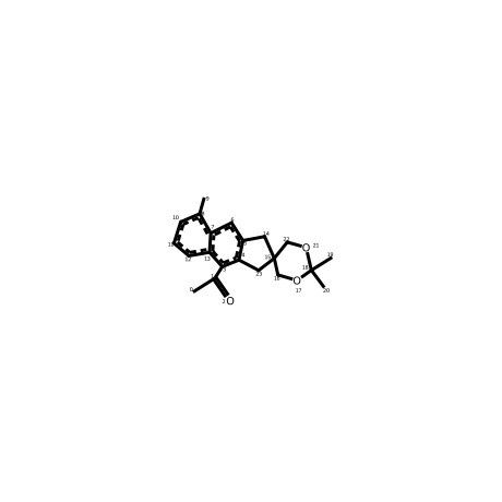 CC(=O)c1c2c(cc3c(C)cccc13)CC1(COC(C)(C)OC1)C2